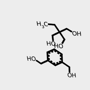 CCC(CO)(CO)CO.OCc1cccc(CO)c1